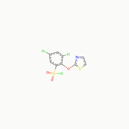 O=S(=O)(Cl)c1cc(Cl)cc(Cl)c1Oc1nccs1